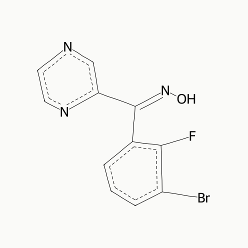 ON=C(c1cnccn1)c1cccc(Br)c1F